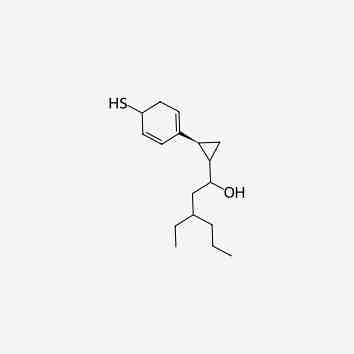 CCCC(CC)CC(O)C1C[C@@H]1C1=CCC(S)C=C1